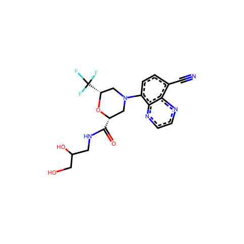 N#Cc1ccc(N2C[C@@H](C(F)(F)F)O[C@@H](C(=O)NCC(O)CO)C2)c2nccnc12